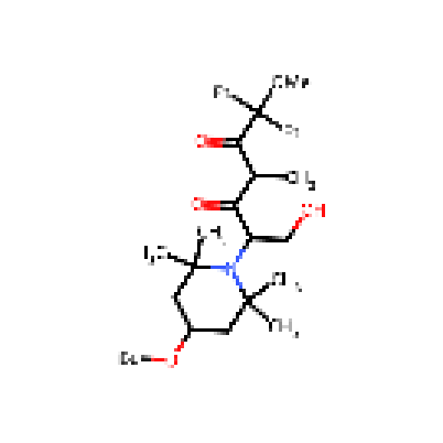 CCC(C)OC1CC(C)(C)N(C(CO)C(=O)C(C)C(=O)C(CC)(CC)OC)C(C)(C)C1